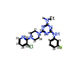 CCN(C)c1nc(Nc2cccc(F)c2)nc(N2CCN(c3ncccc3Cl)CC2)n1